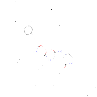 CC(C)C[C@H](NC(=O)OCc1ccccc1)C(=O)N[C@@H](C[C@@H]1CCCNC1=O)C(N)=O